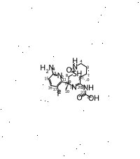 C[C@@]12CCCN[SH]1(=O)C[C@@](C)(c1nc(N)ccc1F)N=C2NC(=O)O